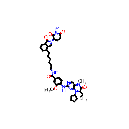 CCC1C(=O)N(C)c2cnc(Nc3ccc(C(=O)NCCCCCCc4cccc5c4CN(C4CCC(=O)NC4=O)C5=O)cc3OC)nc2N1C1CCCC1